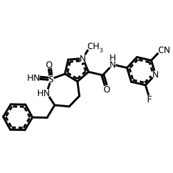 Cn1cc2c(c1C(=O)Nc1cc(F)nc(C#N)c1)CCC(Cc1ccccc1)NS2(=N)=O